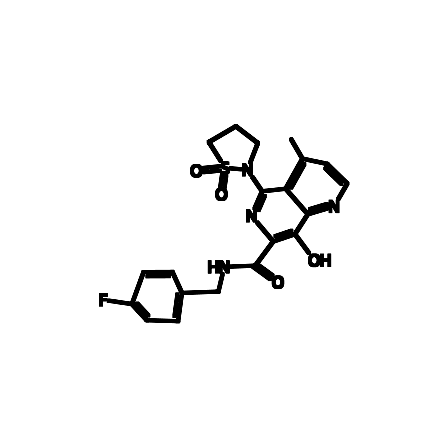 Cc1ccnc2c(O)c(C(=O)NCc3ccc(F)cc3)nc(N3CCCS3(=O)=O)c12